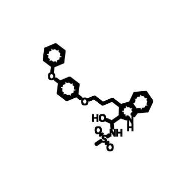 CS(=O)(=O)NC(O)c1[nH]c2ccccc2c1CCCOc1ccc(Oc2ccccc2)cc1